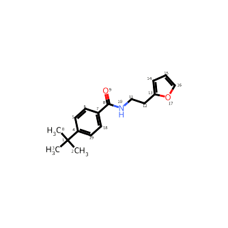 CC(C)(C)c1ccc(C(=O)NCCc2ccco2)cc1